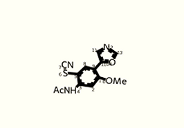 COc1cc(NC(C)=O)c(SC#N)cc1-c1cnco1